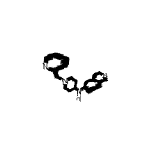 c1ccc(CN2CCC(Nc3ccc4cnccc4c3)CC2)nc1